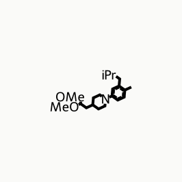 COC(CC1CCN(c2ccc(C)c(CC(C)C)c2)CC1)OC